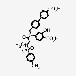 Cc1ccc(S(=O)(=O)N(C)CC(=O)N(Cc2ccc(-c3ccc(C(=O)O)cc3)cc2)c2ccc(C(=O)O)c(O)c2)cc1